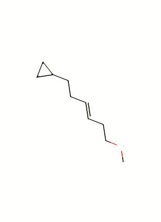 COCCC=CCCC1[CH]C1